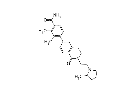 Cc1c(C(N)=O)ccc(-c2ccc3c(c2)CCN(CCN2CCCC2C)C3=O)c1C